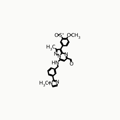 COc1ccc(-c2c(C)nn3c(NCc4cccc(-c5nccn5C)c4)cc(C=O)nc23)cc1[S+]=O